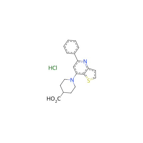 Cl.O=C(O)C1CCN(c2cc(-c3ccccc3)nc3ccsc23)CC1